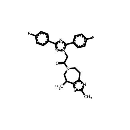 Cc1nc2c(s1)C(C)CN(C(=O)Cn1nc(-c3ccc(F)cc3)nc1-c1ccc(F)cc1)CC2